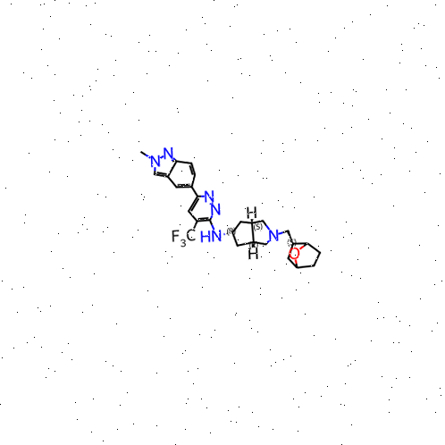 Cn1cc2cc(-c3cc(C(F)(F)F)c(N[C@@H]4C[C@@H]5CN(C[C@@H]6CC7CCC6O7)C[C@@H]5C4)nn3)ccc2n1